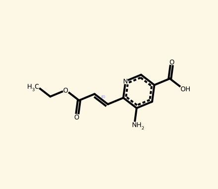 CCOC(=O)/C=C/c1ncc(C(=O)O)cc1N